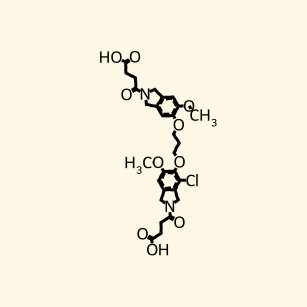 COc1cc2c(cc1OCCCOc1c(OC)cc3c(c1Cl)CN(C(=O)CCC(=O)O)C3)CN(C(=O)CCC(=O)O)C2